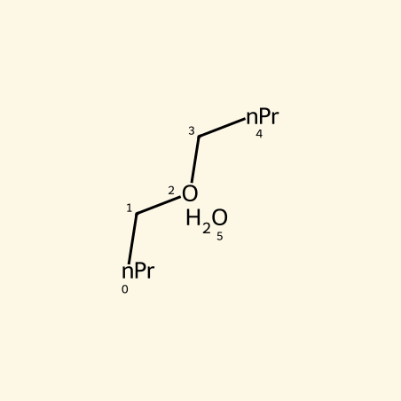 CCCCOCCCC.O